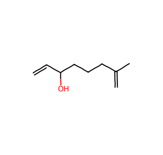 C=CC(O)CCCC(=C)C